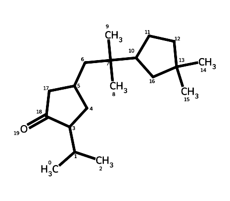 CC(C)C1CC(CC(C)(C)C2CCC(C)(C)C2)CC1=O